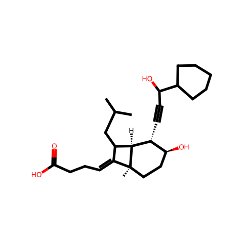 CC(C)CC1C(=CCCC(=O)O)[C@]2(C)CC[C@H](O)[C@@H](C#CC(O)C3CCCCC3)[C@H]12